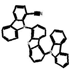 N#Cc1cccc2c3ccccc3n(-c3cccc4c3sc3cccc(-n5c6ccccc6c6ccccc65)c34)c12